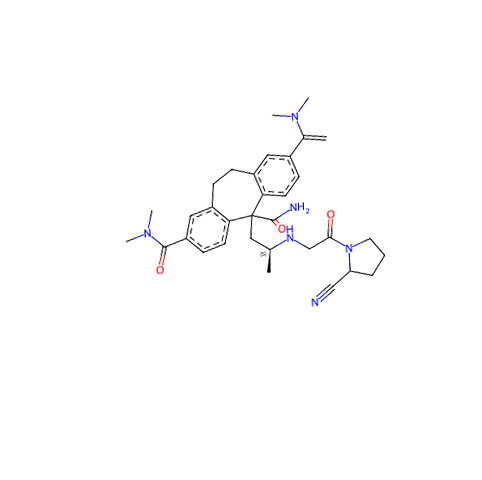 C=C(c1ccc2c(c1)CCc1cc(C(=O)N(C)C)ccc1C2(C[C@H](C)NCC(=O)N1CCCC1C#N)C(N)=O)N(C)C